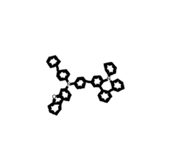 c1ccc(-c2ccc(N(c3ccc(-c4ccc5c(c4)-c4ccccc4-c4ccccc4N5c4ccccc4)cc3)c3ccc4c(c3)oc3ccccc34)cc2)cc1